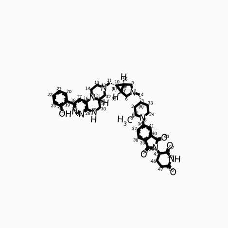 C[C@@H]1C[C@H](CN2C[C@@H]3[C@H](C2)[C@H]3CN2CCN3c4cc(-c5ccccc5O)nnc4NC[C@H]3C2)CCN1c1ccc2c(c1)C(=O)N(C1CCC(=O)NC1=O)C2=O